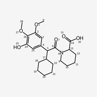 COc1cc(C(C(=O)N2CCCCC2C(=O)O)C2CCCCC2)cc(O)c1OC